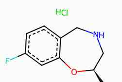 CC[C@@H]1CNCc2ccc(F)cc2O1.Cl